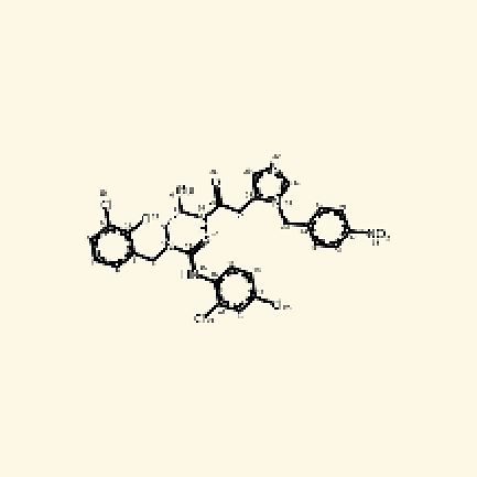 CC[C@H](C)[C@@H](CN(Cc1cccc(Cl)c1Cl)C(=S)Nc1ccc(Cl)cc1Cl)NC(=O)Cc1cncn1Cc1ccc([N+](=O)[O-])cc1